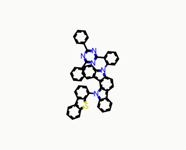 c1ccc(-c2nc(-c3ccccc3)nc(-c3ccccc3-n3c4ccccc4c4c3ccc3c5ccccc5n(-c5cccc6c5sc5ccccc56)c34)n2)cc1